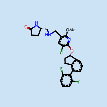 COc1nc(O[C@H]2CCc3c(-c4c(F)cccc4F)cccc32)c(Cl)cc1CNC[C@@H]1CCC(=O)N1